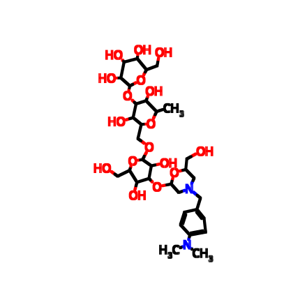 CC1OC(COC2OC(CO)C(O)C(OC3CN(Cc4ccc(N(C)C)cc4)CC(CO)O3)C2O)C(O)C(OC2OC(CO)C(O)C(O)C2O)C1O